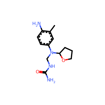 Cc1cc(N(CNC(N)=O)C2CCCO2)ccc1N